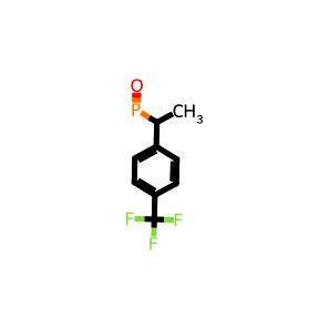 CC(P=O)c1ccc(C(F)(F)F)cc1